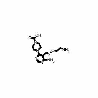 NCCON=Cc1c(N)ncnc1N1CCN(C(=O)O)CC1